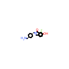 NC[C@H]1CC[C@H](CN2Cc3ccc(O)c(F)c3C2=O)CC1